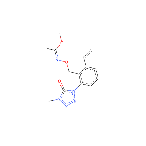 C=Cc1cccc(-n2nnn(C)c2=O)c1CON=C(C)OC